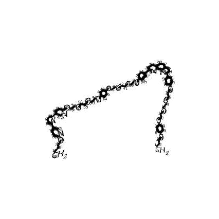 C=CCCOc1ccc(OCCOCCOCCOc2ccc(-c3ccc4ccc5ccc(-c6ccc(OCCOCCOCCOc7ccc(OCCOCCOCCOc8ccc(-c9cccc(-c%10ccc(OCCC=C)nc%10)n9)cn8)cc7)cc6)nc5c4n3)cc2)cc1